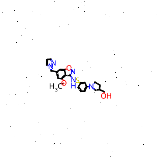 COc1cc(Cn2cccn2)cc2onc(NSc3cccc(N4CCC(CO)C4)c3)c12